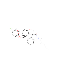 CCCCCN1C(=O)C2(COc3cc4c(cc32)OCO4)c2c(C=Cc3ccc(F)cc3)cccc21